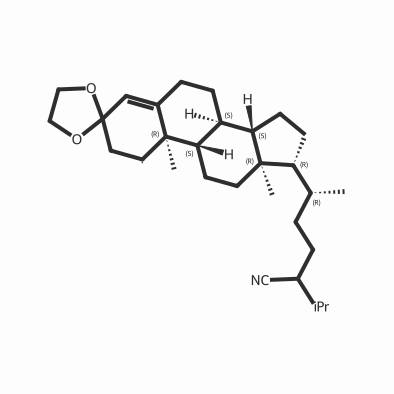 CC(C)C(C#N)CC[C@@H](C)[C@H]1CC[C@H]2[C@@H]3CCC4=CC5(C[CH][C@]4(C)[C@H]3CC[C@]12C)OCCO5